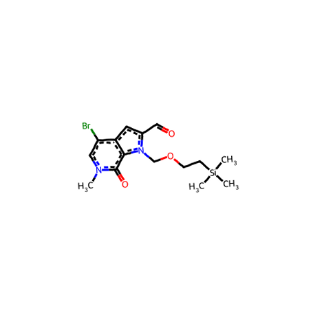 Cn1cc(Br)c2cc(C=O)n(COCC[Si](C)(C)C)c2c1=O